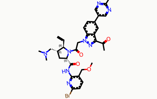 C=C[C@@H]1[C@@H](CN(C)C)C[C@@H](C(=O)Nc2nc(Br)ccc2COC)N1C(=O)Cn1nc(C(C)=O)c2cc(-c3cnc(C)nc3)ccc21